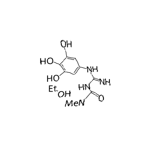 CCO.CNC(=O)NC(=N)Nc1cc(O)c(O)c(O)c1